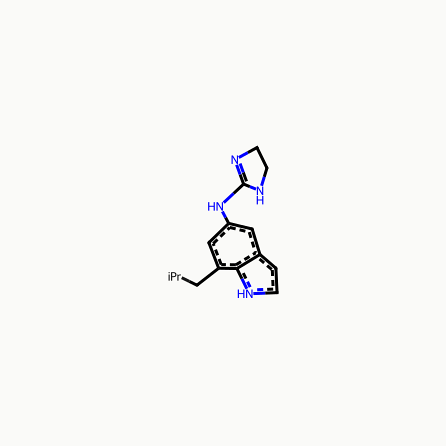 CC(C)Cc1cc(NC2=NCCN2)cc2cc[nH]c12